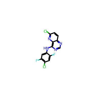 Fc1cc(Nc2ncnc3ccc(Cl)nc23)c(F)cc1Cl